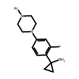 CC(=O)N1CCN(c2ccc(C3(N)CC3)c(F)c2)CC1